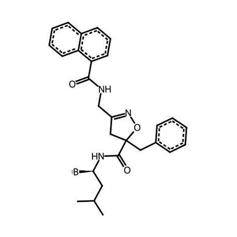 [B][C@H](CC(C)C)NC(=O)C1(Cc2ccccc2)CC(CNC(=O)c2cccc3ccccc23)=NO1